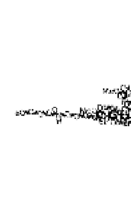 CC[C@H]1O[C@H](O[C@H]2[C@H](OC)[C@@H](OC)[C@H](O[C@H]3[C@H](OC)[C@@H](C)[C@@H](OC)O[C@@H]3CC)O[C@H]2C)[C@H](C)[C@@H](C)[C@@H]1O[C@@H]1O[C@H](C)[C@@H](O[C@H]2O[C@H](CC)[C@@H](OCCOCCOCCOCCNC(=O)COCCOCCOCCOC)[C@H](OC)[C@H]2OC)[C@H](OC)[C@H]1OC